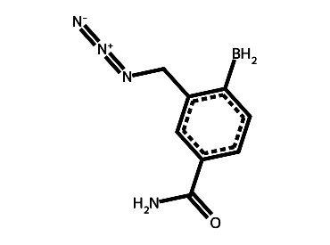 Bc1ccc(C(N)=O)cc1CN=[N+]=[N-]